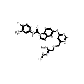 CN/C(CNCc1cc(Oc2ccc3c(ccn3C(=O)Nc3ccc(F)c(C(F)(F)F)c3)c2)ncn1)=N\N=N